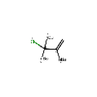 C=C(CCCC)C(Cl)(CCCC)CCCC